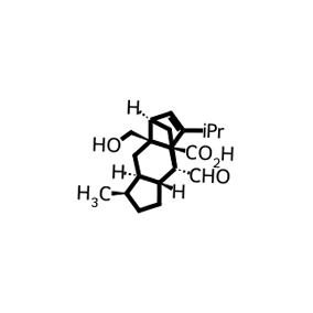 CC(C)C1=C[C@H]2C[C@@]3(C=O)[C@@H]4CC[C@@H](C)[C@H]4C[C@@]2(CO)[C@]13C(=O)O